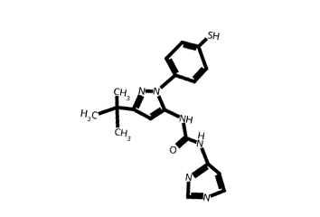 CC(C)(C)c1cc(NC(=O)Nc2ccncn2)n(-c2ccc(S)cc2)n1